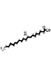 CCCCCCCCCCCCCCCCCCCC(=O)O.[Ti]